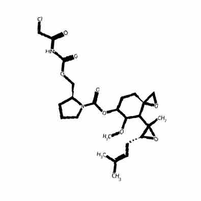 COC1C(OC(=O)N2CCC[C@H]2COC(=O)NC(=O)CCl)CC[C@]2(CO2)C1C1(C)O[C@@H]1CC=C(C)C